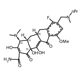 CCCN(C)Cc1cc(OC)c2c(c1F)C[C@H]1C[C@H]3[C@H](N(C)C)C(O)=C(C(N)=O)C(=O)[C@@]3(O)C(O)=C1C2=O